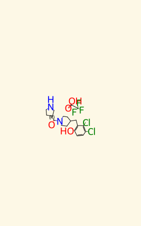 O=C(O)C(F)(F)F.O=C([C@@H]1CCNC1)N1CCC(Cc2c(O)ccc(Cl)c2Cl)CC1